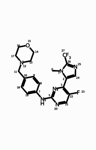 Cn1c(-c2nc(Nc3ccc(CN4CCOCC4)cc3)ncc2F)cnc1C(F)(F)F